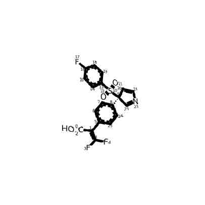 O=C(O)C(=C(F)F)c1ccc([C@]2(S(=O)(=O)c3ccc(F)cc3)C=CN=C2)cc1